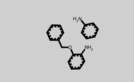 Nc1ccccc1.Nc1ccccc1OCc1ccccc1